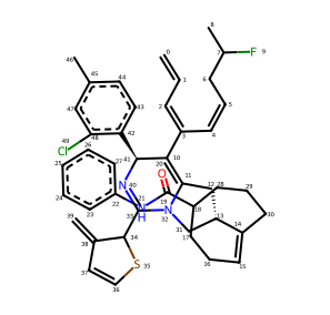 C=C/C=C(\C=C/CC(C)F)C1=C2C[C@H](/C3=C\CCC(C(=O)Nc4ccccc4)CCC3)CN2C(C2SC=CC2=C)=N[C@H]1c1ccc(C)cc1Cl